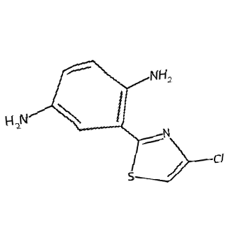 Nc1ccc(N)c(-c2nc(Cl)cs2)c1